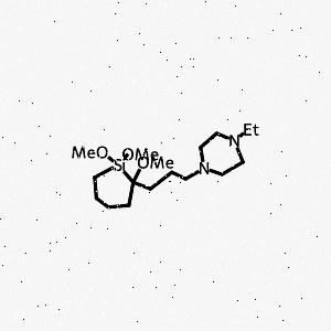 CCN1CCN(CCCC2(OC)CCCC[Si]2(OC)OC)CC1